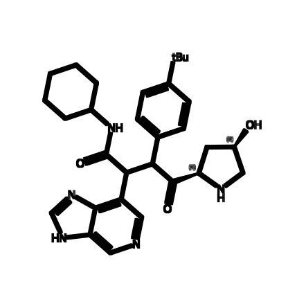 CC(C)(C)c1ccc(C(C(=O)[C@H]2C[C@@H](O)CN2)C(C(=O)NC2CCCCC2)c2cncc3[nH]cnc23)cc1